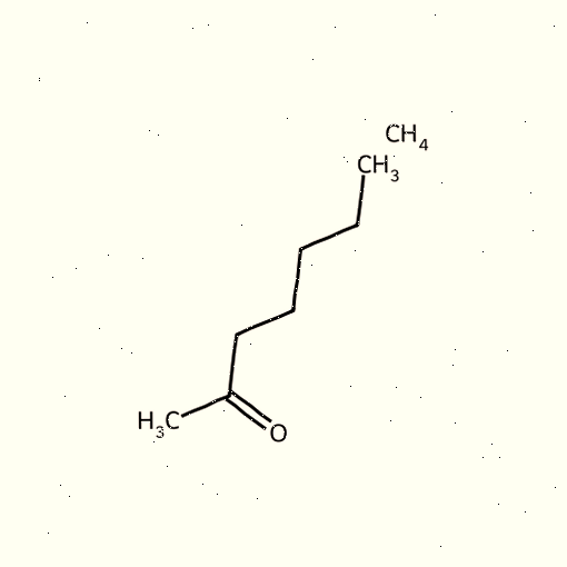 C.CCCCCC(C)=O